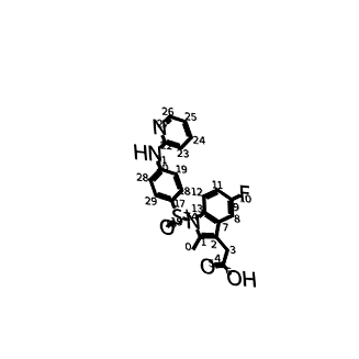 Cc1c(CC(=O)O)c2cc(F)ccc2n1[S+]([O-])c1ccc(Nc2ccccn2)cc1